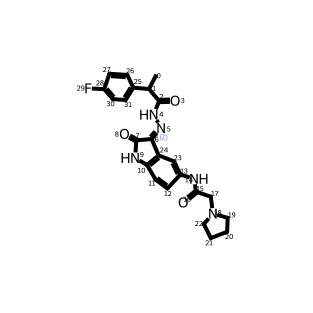 CC(C(=O)N/N=C1\C(=O)Nc2ccc(NC(=O)CN3CCCC3)cc21)c1ccc(F)cc1